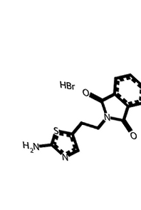 Br.Nc1ncc(CCN2C(=O)c3ccccc3C2=O)s1